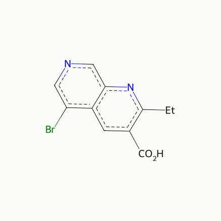 CCc1nc2cncc(Br)c2cc1C(=O)O